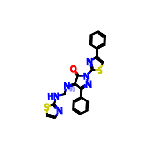 O=C1/C(=N/CNc2nccs2)C(c2ccccc2)=NN1c1nc(-c2ccccc2)cs1